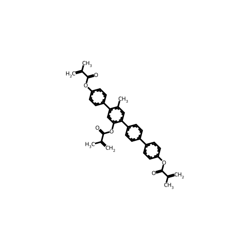 C=C(C)C(=O)Oc1ccc(-c2ccc(-c3cc(C)c(-c4ccc(OC(=O)C(=C)C)cc4)cc3OC(=O)C(=C)C)cc2)cc1